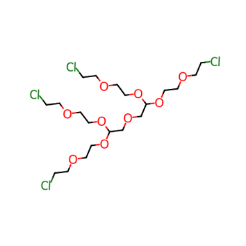 ClCCOCCOC(COCC(OCCOCCCl)OCCOCCCl)OCCOCCCl